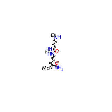 CCNCCCCC(NCC)C(=O)NCCCCC(NC)C(N)=O